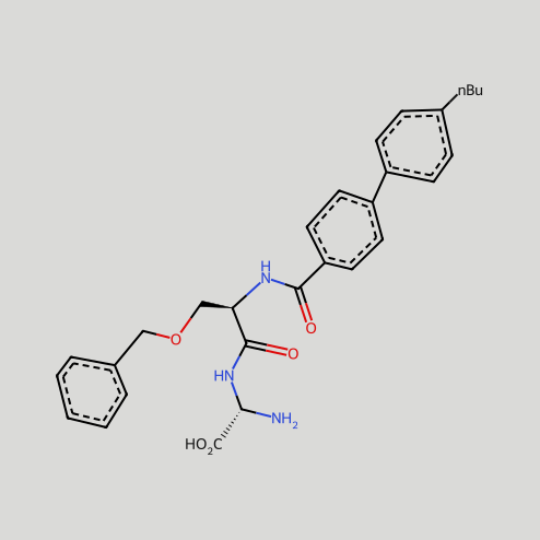 CCCCc1ccc(-c2ccc(C(=O)N[C@H](COCc3ccccc3)C(=O)N[C@H](N)C(=O)O)cc2)cc1